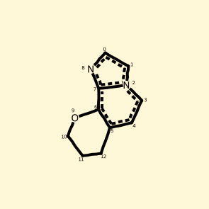 c1cn2ccc3c(c2n1)OCCC3